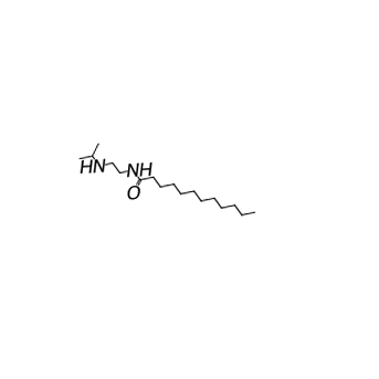 CCCCCCCCCCCC(=O)NCCNC(C)C